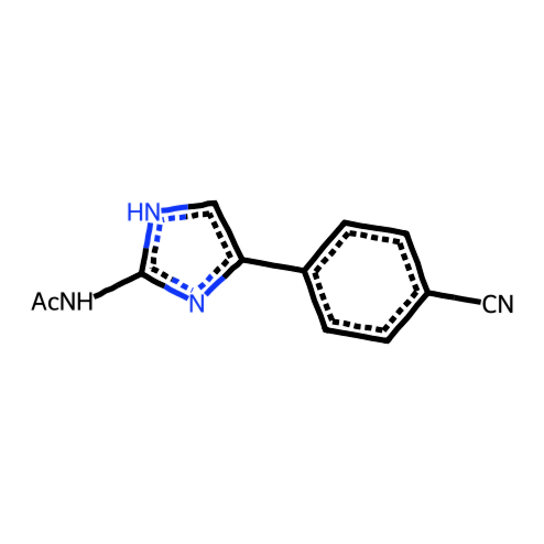 CC(=O)Nc1nc(-c2ccc(C#N)cc2)c[nH]1